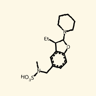 CCC1c2cc(CN(C)S(=O)(=O)O)ccc2OC1N1CCCCC1